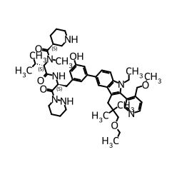 CCOCC(C)(C)Cc1c(-c2cnccc2COC)n(CC)c2ccc(-c3cc(O)cc(C[C@H](NC(=O)[C@H](C(C)C)N(C)C(=O)[C@H]4CCCNC4)C(=O)N4CCCCN4)c3)cc12